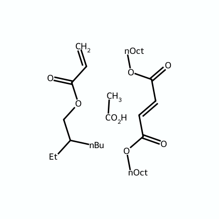 C=CC(=O)OCC(CC)CCCC.CC(=O)O.CCCCCCCCOC(=O)C=CC(=O)OCCCCCCCC